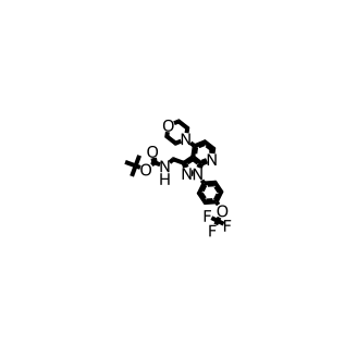 CC(C)(C)OC(=O)NCc1nn(-c2ccc(OC(F)(F)F)cc2)c2nccc(N3CCOCC3)c12